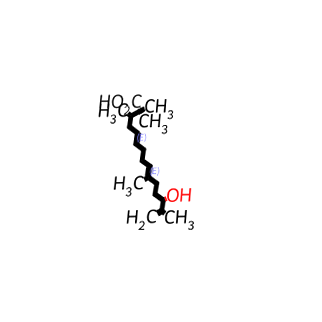 C=C(C)C(O)CC/C(C)=C/CC/C=C/CC(C)C(C)(C)C(=O)O